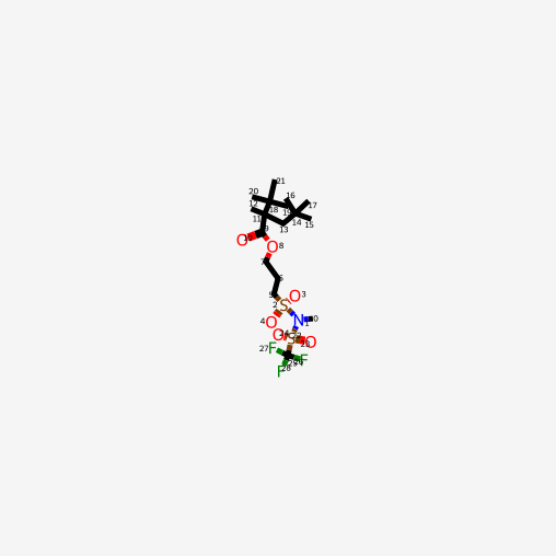 CN(S(=O)(=O)CCCOC(=O)C(C)(CC(C)(C)C)C(C)(C)C)S(=O)(=O)C(F)(F)F